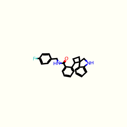 O=C(NCc1ccc(F)cc1)c1ccccc1C1CCC12CNc1ccccc12